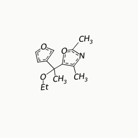 CCOC(C)(c1ccoc1)c1oc(C)nc1C